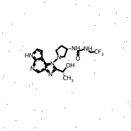 C[C@@H](O)c1nc2cnc3[nH]ccc3c2n1N1CC[C@H](NC(=O)NCC(F)(F)F)C1